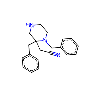 N#CCC1(Cc2ccccc2)CNCCN1Cc1ccccc1